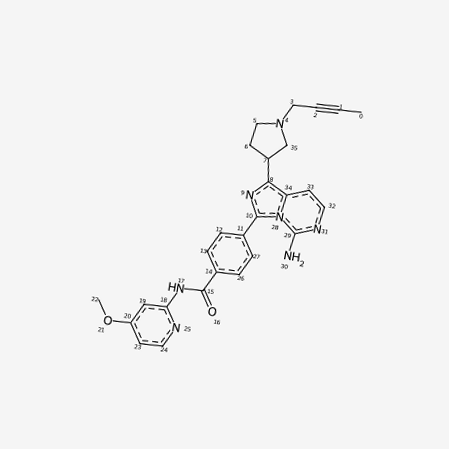 CC#CCN1CCC(c2nc(-c3ccc(C(=O)Nc4cc(OC)ccn4)cc3)n3c(N)nccc23)C1